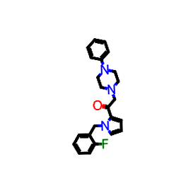 O=C(CN1CCN(c2ccccc2)CC1)c1cccn1Cc1ccccc1F